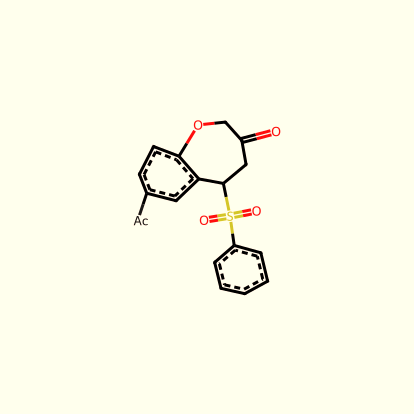 CC(=O)c1ccc2c(c1)C(S(=O)(=O)c1ccccc1)CC(=O)CO2